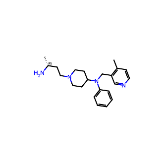 Cc1ccncc1CN(c1ccccc1)C1CCN(CC[C@@H](C)N)CC1